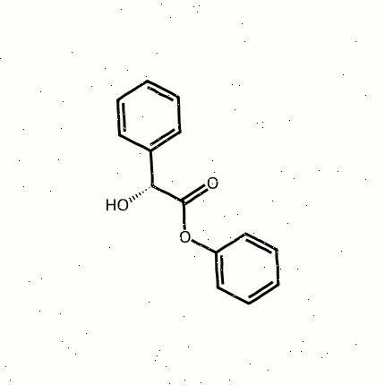 O=C(Oc1ccccc1)[C@H](O)c1ccccc1